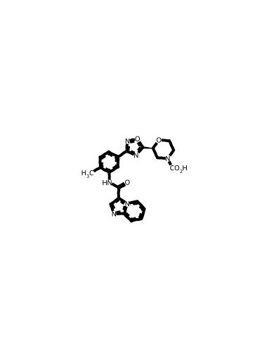 Cc1ccc(-c2noc([C@@H]3CN(C(=O)O)CCO3)n2)cc1NC(=O)c1cnc2ccccn12